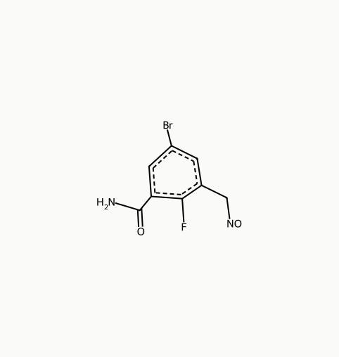 NC(=O)c1cc(Br)cc(CN=O)c1F